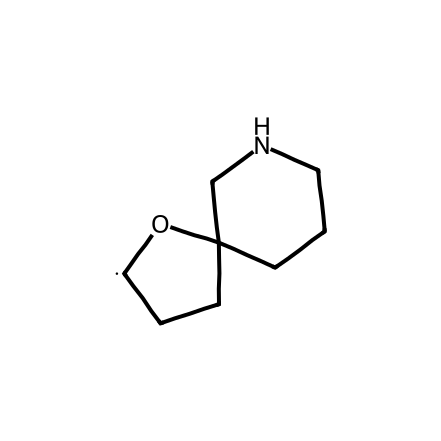 [CH]1CCC2(CCCNC2)O1